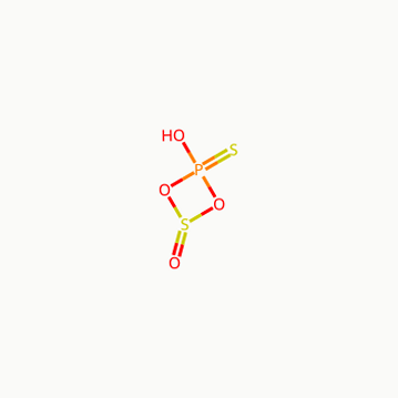 O=S1OP(O)(=S)O1